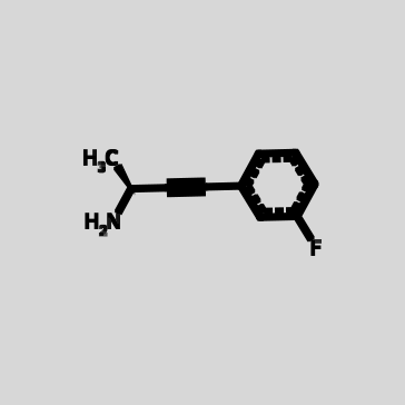 C[C@H](N)C#Cc1cccc(F)c1